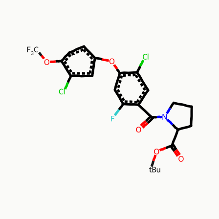 CC(C)(C)OC(=O)C1CCCN1C(=O)c1cc(Cl)c(Oc2ccc(OC(F)(F)F)c(Cl)c2)cc1F